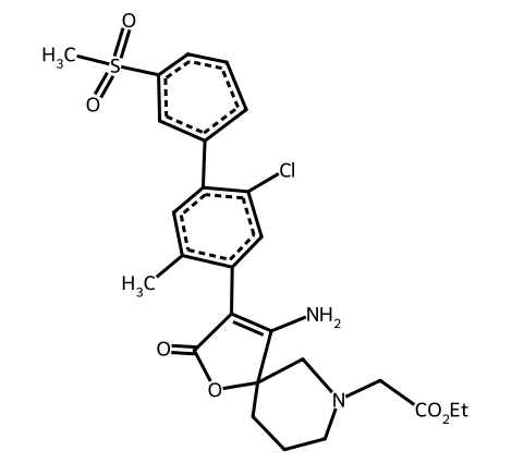 CCOC(=O)CN1CCCC2(C1)OC(=O)C(c1cc(Cl)c(-c3cccc(S(C)(=O)=O)c3)cc1C)=C2N